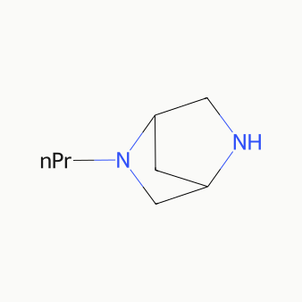 CCCN1CC2CC1CN2